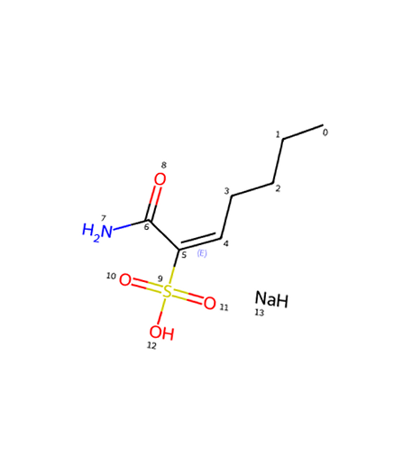 CCCC/C=C(\C(N)=O)S(=O)(=O)O.[NaH]